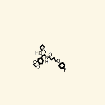 O=C(CCCOc1ccc(F)cc1)N[C@H](CN1CCCC1)C(O)c1ccc2c(c1)OCCO2